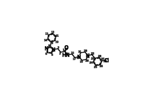 O=C(CCn1ccnc1-c1ccccc1)NCCN1CCN(Cc2cccc(Cl)c2)CC1